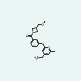 COCC1CN(C(=O)c2cccc(Oc3cc(CN)cc(C)n3)c2)C1